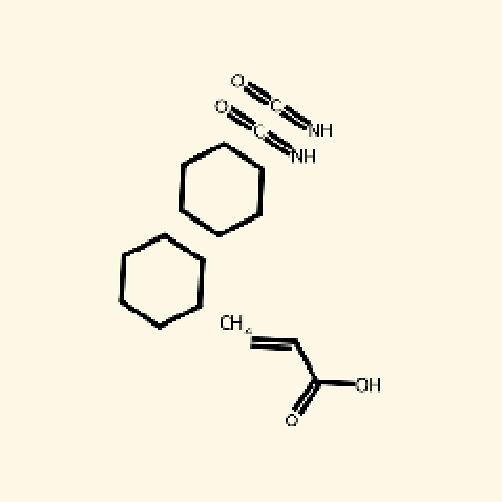 C.C1CCCCC1.C1CCCCC1.C=CC(=O)O.N=C=O.N=C=O